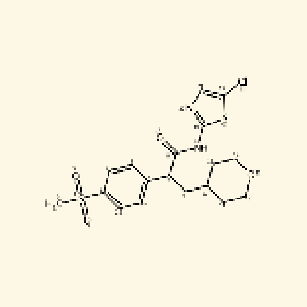 CS(=O)(=O)c1ccc(C(CC2CCOCC2)C(=O)Nc2ncc(Cl)s2)cc1